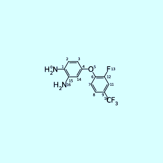 Nc1ccc(Oc2ccc(C(F)(F)F)cc2F)cc1N